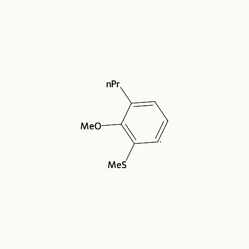 CCCc1cc[c]c(SC)c1OC